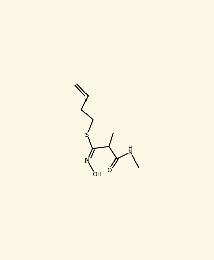 C=CCCS/C(=N/O)C(C)C(=O)NC